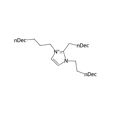 CCCCCCCCCCCCC[n+]1ccn(CCCCCCCCCCCC)c1CCCCCCCCCCC